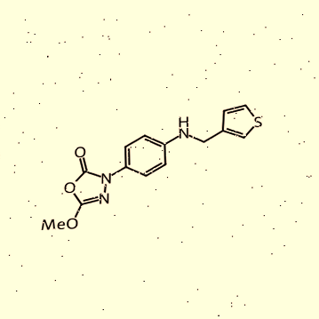 COc1nn(-c2ccc(NCc3ccsc3)cc2)c(=O)o1